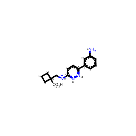 Nc1cccc(-c2ccc(NCC3(C(=O)O)CCC3)nn2)c1